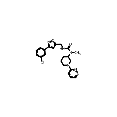 CN(C(=O)NCc1cc(-c2cccc(Cl)c2)no1)C1CCCN(c2cccnn2)C1